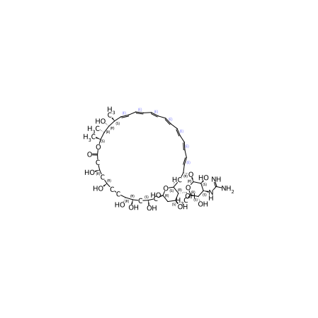 C[C@@H]1[C@H](O)[C@@H](C)/C=C/C=C/C=C/C=C/C=C/C=C/C=C/[C@H](O[C@@H]2O[C@H](C)[C@@H](O)[C@H](NC(=N)N)[C@@H]2O)C[C@@H]2O[C@](O)(C[C@@H](O)C[C@@H](O)[C@H](O)CC[C@@H](O)C[C@@H](O)CC(=O)O[C@H]1C)C[C@H](O)[C@H]2CO